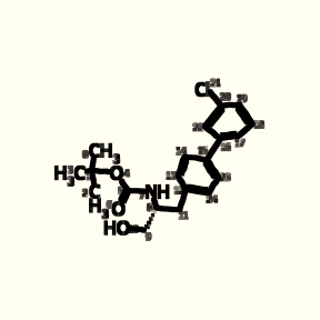 CC(C)(C)OC(=O)N[C@@H](CO)Cc1ccc(-c2cccc(Cl)c2)cc1